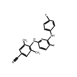 Cc1cc(C#N)cc(C)c1Nc1ccc(F)c(Nc2ccc(F)cc2)n1